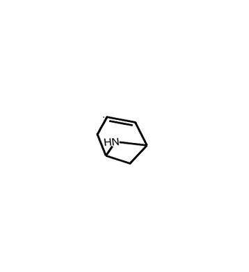 [C]1=CC2CC(C1)N2